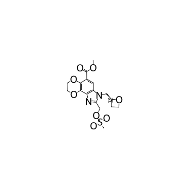 COC(=O)c1cc2c(nc(COS(C)(=O)=O)n2C[C@@H]2CCO2)c2c1OCCO2